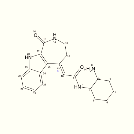 NC1CCCCC1NC(=O)/C=C1\CCNC(=O)c2[nH]c3ccccc3c21